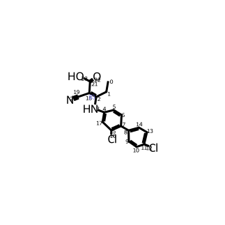 CC/C(Nc1ccc(-c2ccc(Cl)cc2)c(Cl)c1)=C(/C#N)C(=O)O